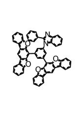 c1ccc(-c2nc3ccccc3n2-c2cc(-c3c4oc5ccccc5c4cc4c3oc3ccccc34)cc(-c3c4oc5ccccc5c4cc4c3oc3ccccc34)c2)cc1